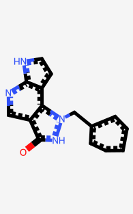 O=c1[nH]n(Cc2ccccc2)c2c1cnc1[nH]ccc12